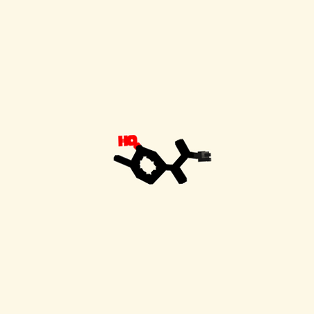 C=C(CC)C(=C)c1ccc(C)c(O)c1